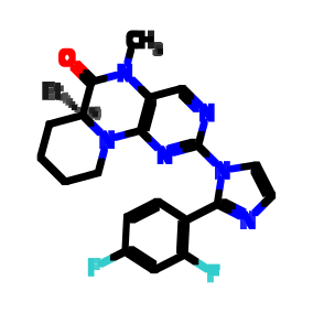 CC[C@@]12CCCCN1c1nc(-n3ccnc3-c3ccc(F)cc3F)ncc1N(C)C2=O